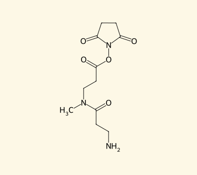 CN(CCC(=O)ON1C(=O)CCC1=O)C(=O)CCN